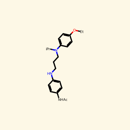 CCOc1ccc(N(CCCNc2ccc(NC(C)=O)cc2)C(C)C)cc1